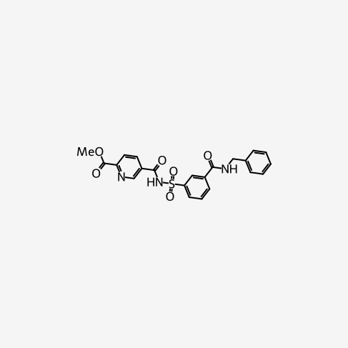 COC(=O)c1ccc(C(=O)NS(=O)(=O)c2cccc(C(=O)NCc3ccccc3)c2)cn1